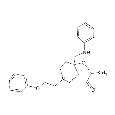 CC(C=O)OC1(CNc2ccccc2)CCN(CCOc2ccccc2)CC1